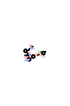 CC(=O)NCCc1ccccc1-c1onc([C@H]2CNCC[C@@H]2c2ccc(OCCOc3c(Cl)cc(C)cc3Cl)cc2)c1C(C)O